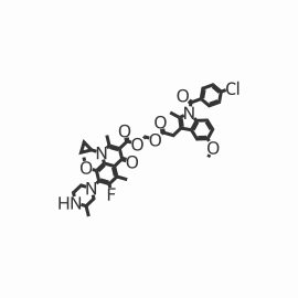 COc1ccc2c(c1)c(CC(=O)OCOC(=O)c1c(C)n(C3CC3)c3c(OC)c(N4CCNC(C)C4)c(F)c(C)c3c1=O)c(C)n2C(=O)c1ccc(Cl)cc1